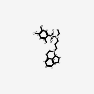 CCN(CCCN1CCc2cccc3c2C1CC3)S(=O)(=O)c1cc(C)c(Cl)cc1C